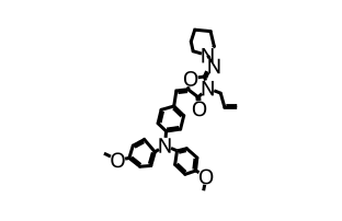 C=CCN1C(=O)/C(=C\c2ccc(N(c3ccc(OC)cc3)c3ccc(OC)cc3)cc2)OC1=NN1CCCCC1